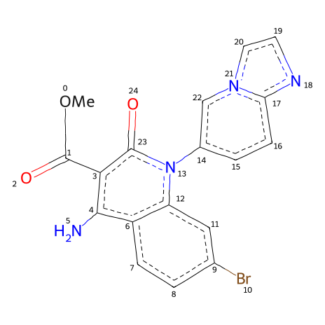 COC(=O)c1c(N)c2ccc(Br)cc2n(-c2ccc3nccn3c2)c1=O